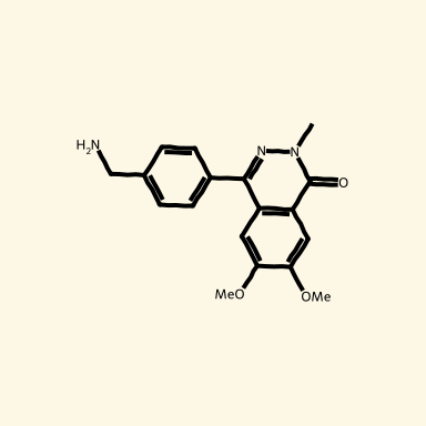 COc1cc2c(-c3ccc(CN)cc3)nn(C)c(=O)c2cc1OC